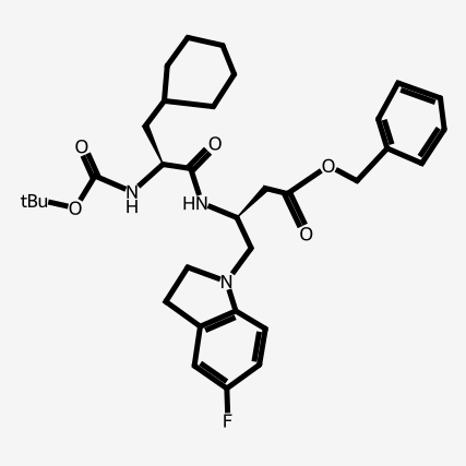 CC(C)(C)OC(=O)N[C@@H](CC1CCCCC1)C(=O)N[C@@H](CC(=O)OCc1ccccc1)CN1CCc2cc(F)ccc21